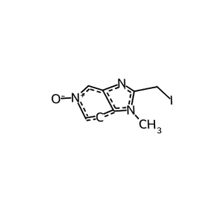 Cn1c(CI)nc2c[n+]([O-])ccc21